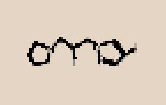 FC(CN1CCCC1)Cn1cc(I)cn1